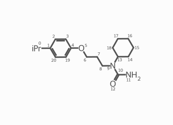 CC(C)c1ccc(OCCCN(C(N)=O)C2CCCCC2)cc1